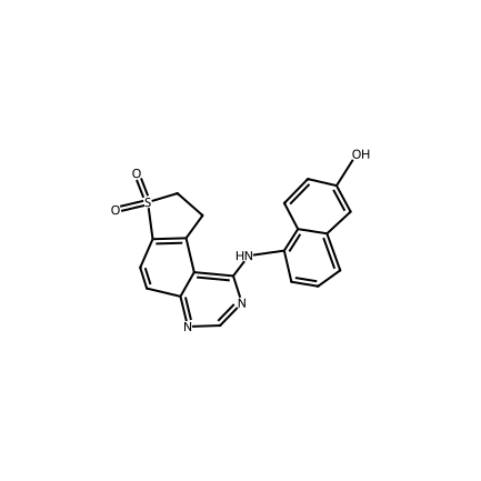 O=S1(=O)CCc2c1ccc1ncnc(Nc3cccc4cc(O)ccc34)c21